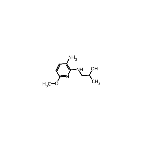 COc1ccc(N)c(NCC(C)O)n1